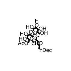 CCCCCCCCCCCCCCC(OC=O)[C@H](C)OC1OC(COC(C)=O)[C@@H](O)C(O)[C@@H]1O[C@@H]1OC(CO)[C@@H](O)C(O)[C@@H]1O